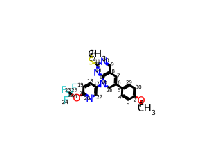 COc1ccc(C2=Cc3cnc(SC)nc3N(c3ccc(OC(F)(F)F)nc3)C2)cc1